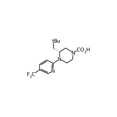 CC(C)(C)C[C@@H]1CN(C(=O)O)CCN1c1ccc(C(F)(F)F)cn1